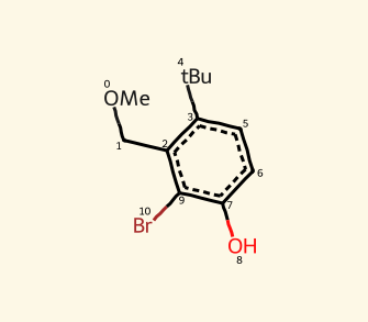 COCc1c(C(C)(C)C)ccc(O)c1Br